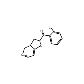 O=C(c1ccccc1Cl)C1CC2CN=CC=C2S1